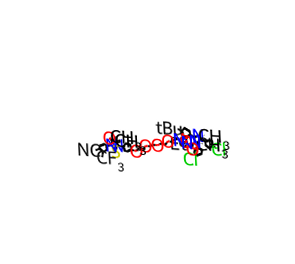 CCOc1cc(C(C)(C)C)ccc1C1=N[C@@](C)(c2ccc(Cl)cc2)[C@@](C)(c2ccc(Cl)cc2)N1C(=O)N1CCN(CCOCCOCCOCCOc2ccc(N3C(=S)N(c4ccc(C#N)c(C(F)(F)F)c4)C(=O)C3(C)C)cc2)CC1